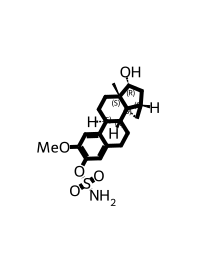 COc1cc2c(cc1OS(N)(=O)=O)CC[C@@H]1[C@@H]2CC[C@]2(C)[C@H](O)C[C@@H]3C[C@]312